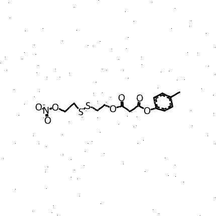 Cc1ccc(OC(=O)CC(=O)OCCSSCCO[N+](=O)[O-])cc1